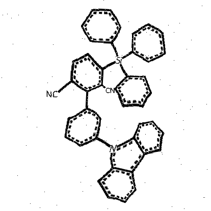 N#Cc1ccc([Si](c2ccccc2)(c2ccccc2)c2ccccc2)c(C#N)c1-c1cccc(-n2c3ccccc3c3ccccc32)c1